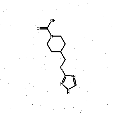 O=C(O)N1CCC(CSc2nc[nH]n2)CC1